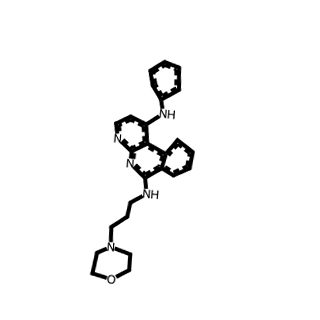 c1ccc(Nc2ccnc3nc(NCCCN4CCOCC4)c4ccccc4c23)cc1